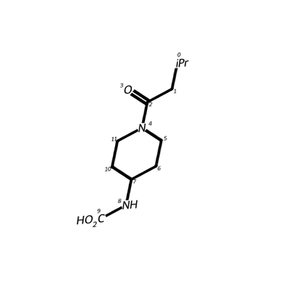 CC(C)CC(=O)N1CCC(NC(=O)O)CC1